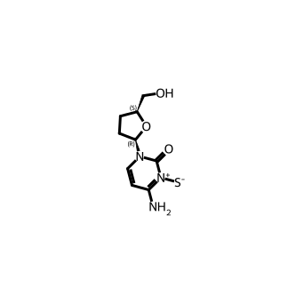 Nc1ccn([C@H]2CC[C@@H](CO)O2)c(=O)[n+]1[S-]